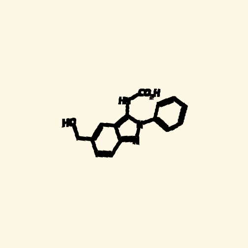 O=C(O)Nc1c2cc(CO)ccc2nn1-c1ccccc1